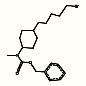 CN(C(=O)OCc1ccccc1)C1CCC(CCCCCBr)CC1